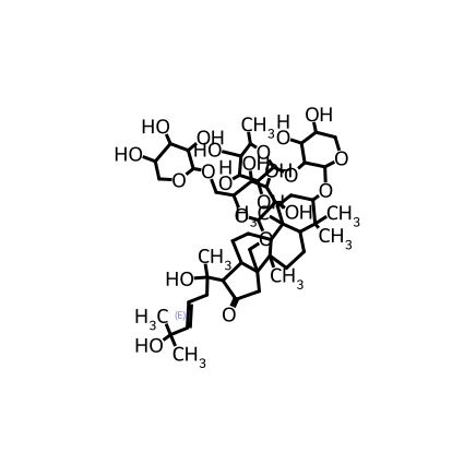 CC1OC(OC2C(OC3CCC4(C)C(CCC5(C)C4CCC4C(C(C)(O)C/C=C/C(C)(C)O)C(=O)CC45COC4OC(COC5OCC(O)C(O)C5O)C(O)C(O)C4O)C3(C)C)OCC(O)C2O)C(O)C(O)C1O